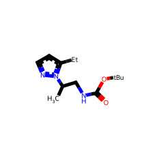 CCc1ccnn1C(C)CNC(=O)OC(C)(C)C